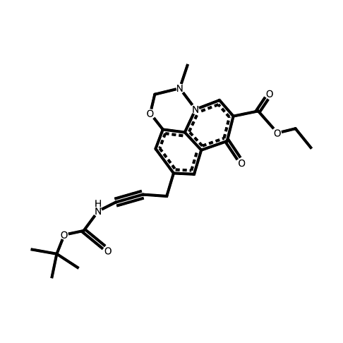 CCOC(=O)c1cn2c3c(cc(CC#CNC(=O)OC(C)(C)C)cc3c1=O)OCN2C